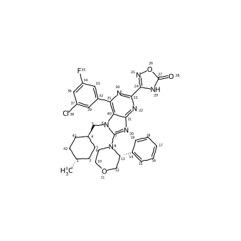 C[C@H]1CC[C@H](Cn2c(N3CCOC[C@H]3c3ccccc3)nc3nc(-c4noc(=O)[nH]4)nc(-c4cc(F)cc(Cl)c4)c32)CC1